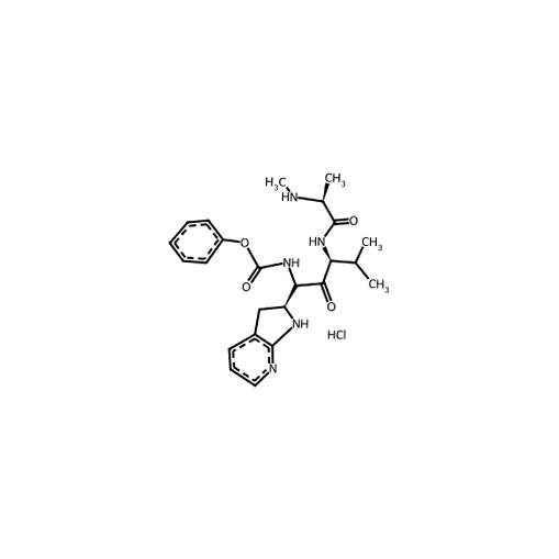 CN[C@@H](C)C(=O)N[C@H](C(=O)C(NC(=O)Oc1ccccc1)[C@@H]1Cc2cccnc2N1)C(C)C.Cl